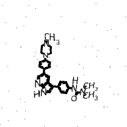 CN1CCN(c2ccc(-c3cnc4[nH]cc(-c5ccc(NC(=O)N(C)C)cc5)c4c3)cc2)CC1